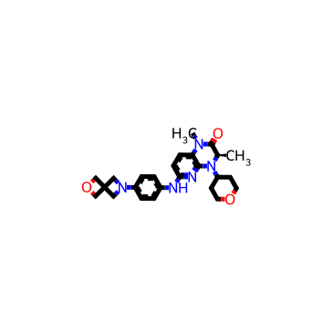 C[C@@H]1C(=O)N(C)c2ccc(Nc3ccc(N4CC5(COC5)C4)cc3)nc2N1C1CCOCC1